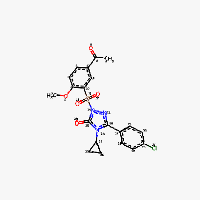 COc1ccc(C(C)=O)cc1S(=O)(=O)n1nc(-c2ccc(Cl)cc2)n(C2CC2)c1=O